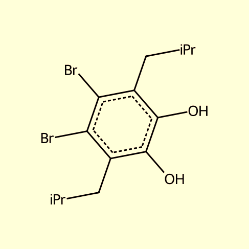 CC(C)Cc1c(O)c(O)c(CC(C)C)c(Br)c1Br